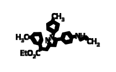 C=CCNc1ccc(-c2cc(CC(C(=O)OCC)c3cccc(C)c3)nn2-c2ccc(C)cc2)cc1